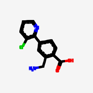 NCc1cc(-c2ncccc2Cl)ccc1C(=O)O